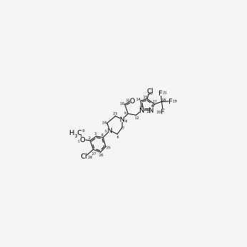 COc1cc(N2CCN(C(C=O)Cn3cc(Cl)c(C(F)(F)F)n3)CC2)ccc1Cl